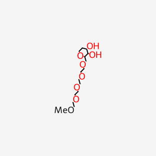 COCCOCCOCCOCCOCC1OCCC(O)C1O